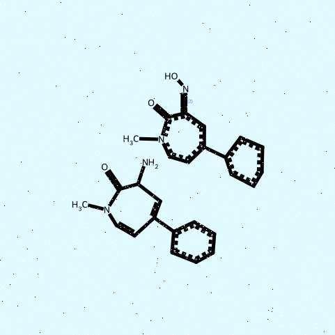 CN1C=CC(c2ccccc2)=CC(N)C1=O.Cn1ccc(-c2ccccc2)c/c(=N/O)c1=O